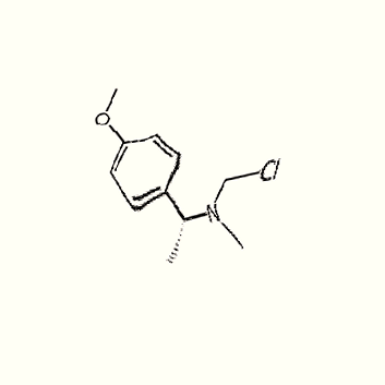 COc1ccc([C@@H](C)N(C)CCl)cc1